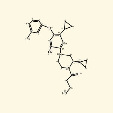 N#Cc1cc(Oc2ccnc(Cl)c2)c(C2CC2)nc1N1CCN(C(=O)CCO)[C@H](C2CC2)C1